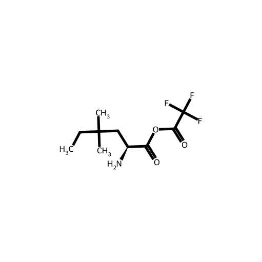 CCC(C)(C)C[C@H](N)C(=O)OC(=O)C(F)(F)F